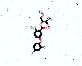 CCOCC(OC(=O)c1cc(Oc2ccc(C(F)(F)F)cc2Cl)ccc1[N+](=O)[O-])C(C)=C=O